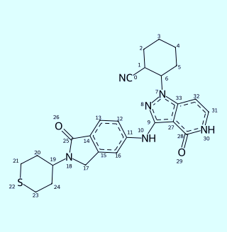 N#CC1CCCCC1n1nc(Nc2ccc3c(c2)CN(C2CCSCC2)C3=O)c2c(=O)[nH]ccc21